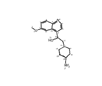 COc1ccc2nccc(C(O)CN3CCC(N)CC3)c2c1